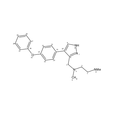 CNCCN(C)Cc1n[nH]cc1-c1ccc(Oc2ccccc2)cc1